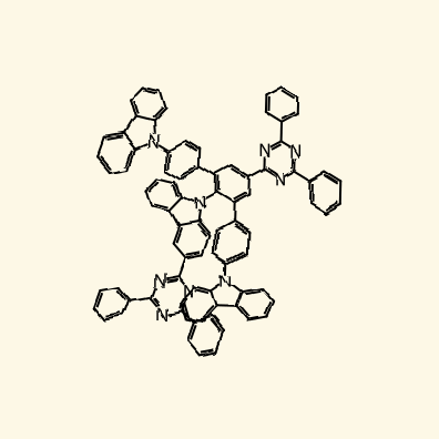 c1ccc(-c2nc(-c3ccccc3)nc(-c3cc(-c4ccc(-n5c6ccccc6c6ccccc65)cc4)c(-n4c5ccccc5c5cc(-c6nc(-c7ccccc7)nc(-c7ccccc7)n6)ccc54)c(-c4ccc(-n5c6ccccc6c6ccccc65)cc4)c3)n2)cc1